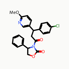 COc1ccc(C(CC(=O)N2C(=O)OCC2c2ccccc2)c2ccc(Cl)cc2)cn1